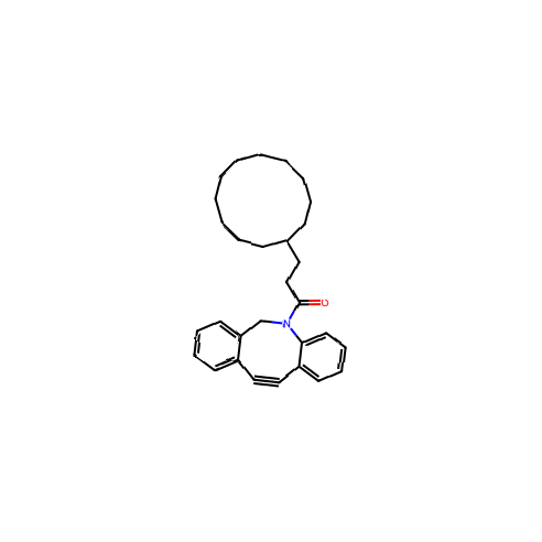 O=C(CCC1CCCCCCCCCCC1)N1Cc2ccccc2C#Cc2ccccc21